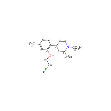 CC(C)(C)C1CC(c2ccc(C(F)(F)F)cc2OCCF)CCN1C(=O)O